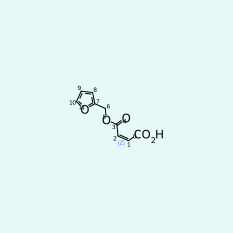 O=C(O)/C=C\C(=O)OCc1ccco1